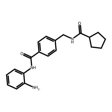 Nc1ccccc1NC(=O)c1ccc(CNC(=O)C2CCCC2)cc1